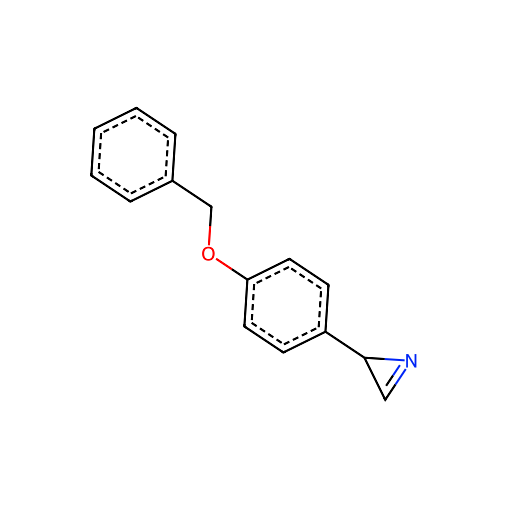 C1=NC1c1ccc(OCc2ccccc2)cc1